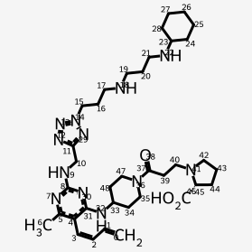 C=C/C=C\c1c(C)nc(NCc2nnn(CCCNCCCNC3CCCCC3)n2)nc1NC1CCN(C(=O)CCN2CCC[C@@H]2C(=O)O)CC1